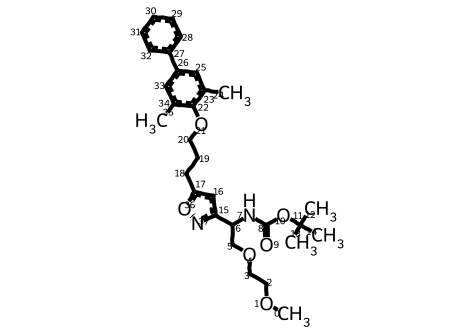 COCCOCC(NC(=O)OC(C)(C)C)c1cc(CCCOc2c(C)cc(-c3ccccc3)cc2C)on1